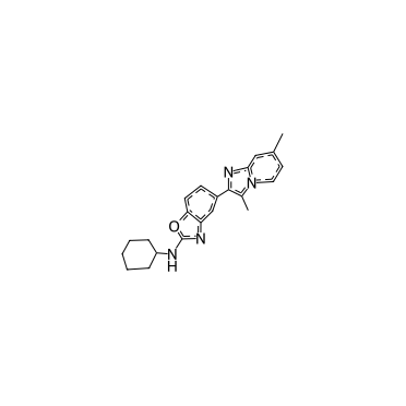 Cc1ccn2c(C)c(-c3ccc4oc(NC5CCCCC5)nc4c3)nc2c1